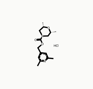 Cc1cc(COC(=O)N2C[C@@H](C)O[C@@H](C)C2)cc(C)n1.Cl